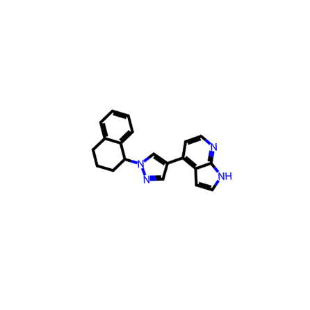 c1ccc2c(c1)CCCC2n1cc(-c2ccnc3[nH]ccc23)cn1